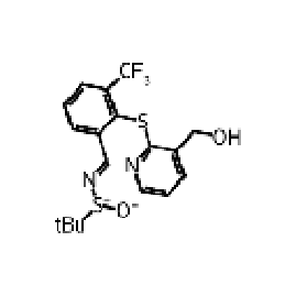 CC(C)(C)[S+]([O-])N=Cc1cccc(C(F)(F)F)c1Sc1ncccc1CO